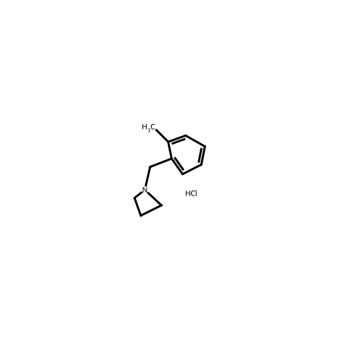 Cc1ccccc1CN1CCC1.Cl